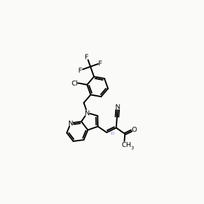 CC(=O)/C(C#N)=C/c1cn(Cc2cccc(C(F)(F)F)c2Cl)c2ncccc12